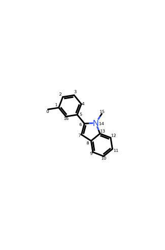 Cc1cccc(-c2cc3ccccc3n2C)c1